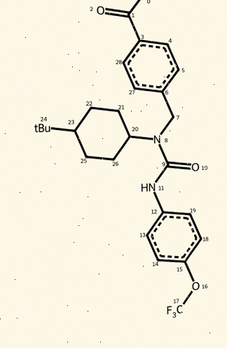 COC(=O)c1ccc(CN(C(=O)Nc2ccc(OC(F)(F)F)cc2)C2CCC(C(C)(C)C)CC2)cc1